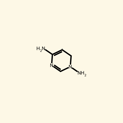 NC1=[C]CN(N)C=N1